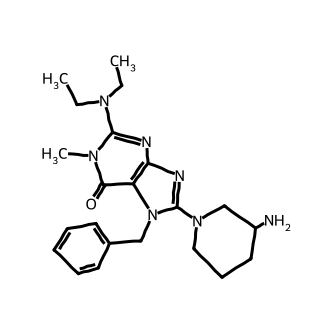 CCN(CC)c1nc2nc(N3CCCC(N)C3)n(Cc3ccccc3)c2c(=O)n1C